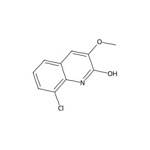 COc1cc2cccc(Cl)c2nc1O